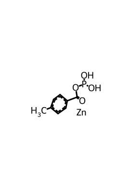 Cc1ccc(C(=O)OP(O)O)cc1.[Zn]